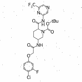 CC(C)(C)OC(=O)N1CC(NC(=O)COc2ccc(Cl)c(F)c2)CCC1C(=O)Nc1cncc(C(F)(F)F)n1